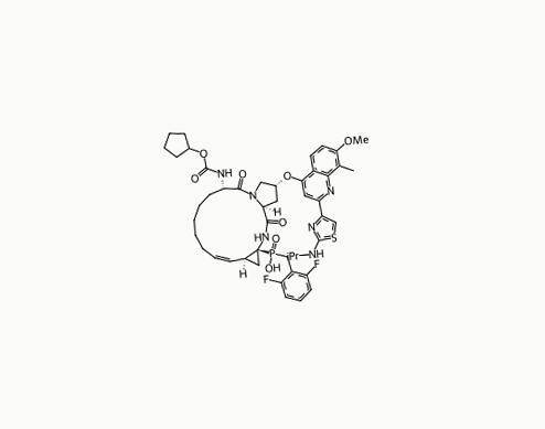 COc1ccc2c(O[C@@H]3C[C@H]4C(=O)N[C@]5(P(=O)(O)Cc6c(F)cccc6F)C[C@H]5/C=C\CCCCC[C@H](NC(=O)OC5CCCC5)C(=O)N4C3)cc(-c3csc(NC(C)C)n3)nc2c1C